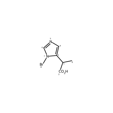 CC(C(=O)O)c1cncn1Br